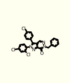 O=c1c2nn(-c3ccc(Cl)cc3Cl)c(-c3ccc(Cl)cc3)c2cnn1Cc1ccccc1